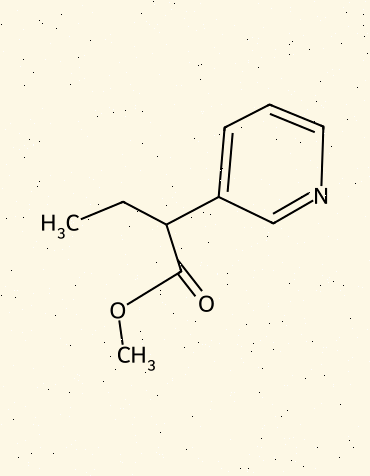 CCC(C(=O)OC)c1cccnc1